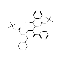 CC(C)(C)OC(=O)NC(C(CN(CC1CCCCC1)NC(=O)OC(C)(C)C)C(=O)c1ccccn1)C(O)c1ccccc1